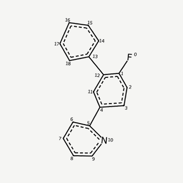 Fc1ccc(-c2ccccn2)cc1-c1ccccc1